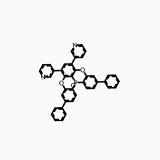 O=P12c3ccc(-c4ccccc4)cc3Oc3c(-c4cccnc4)cc(-c4cccnc4)c(c31)Oc1cc(-c3ccccc3)ccc12